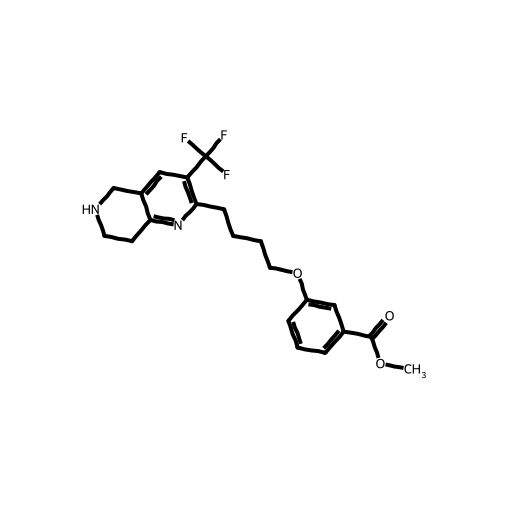 COC(=O)c1cccc(OCCCCc2nc3c(cc2C(F)(F)F)CNCC3)c1